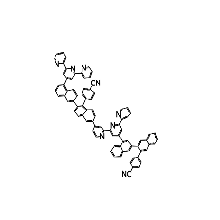 N#Cc1ccc(-c2cc3ccccc3cc2-c2cc(-c3cc(-c4ccccn4)nc(-c4cc(-c5ccc6c(-c7ccc(C#N)cc7)c(-c7ccc8c(-c9cc(-c%10ccccn%10)nc(-c%10ccccn%10)c9)cccc8c7)ccc6c5)ccn4)c3)c3ccccc3c2)cc1